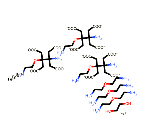 NCCOC(CC(=O)[O-])(CC(=O)[O-])C(N)(CC(=O)[O-])CC(=O)[O-].NCCOC(CC(=O)[O-])(CC(=O)[O-])C(N)(CC(=O)[O-])CC(=O)[O-].NCCOC(CC(=O)[O-])(CC(=O)[O-])C(N)(CC(=O)[O-])CC(=O)[O-].NCCOCCN.NCCOCCN.NCCOCCN.OCCO.[Fe+3].[Fe+3].[Fe+3].[Fe+3]